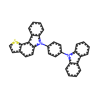 c1ccc2c(c1)c1ccccc1n2-c1ccc(-n2c3ccccc3c3c4sccc4ccc32)cc1